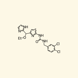 CCOC(c1csc(NC(=O)NCc2ccc(Cl)c(Cl)c2)n1)c1ncc[nH]1